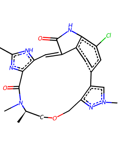 Cc1nc2c([nH]1)/C=C1\C(=O)Nc3c(Cl)cc(cc31)-c1cn(C)nc1COC[C@@H](C)N(C)C2=O